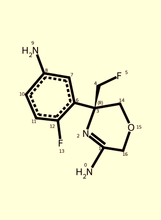 NC1=N[C@](CF)(c2cc(N)ccc2F)COC1